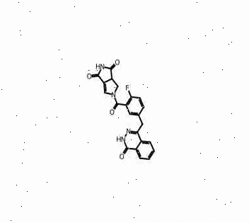 O=C1NC(=O)C2CN(C(=O)c3cc(Cc4n[nH]c(=O)c5ccccc45)ccc3F)C=C12